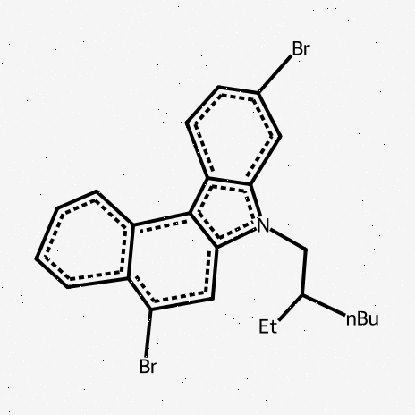 CCCCC(CC)Cn1c2cc(Br)ccc2c2c3ccccc3c(Br)cc21